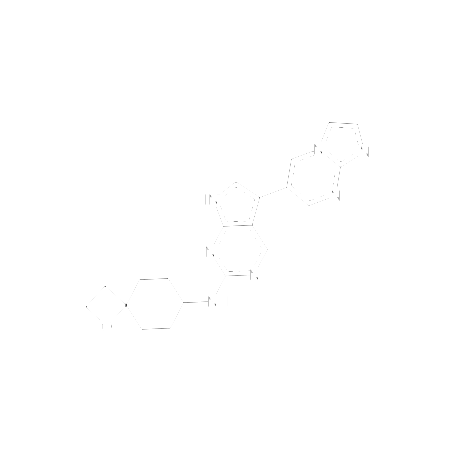 c1cn2cc(-c3c[nH]c4nc(NC5CCC6(CCO6)CC5)ncc34)cnc2n1